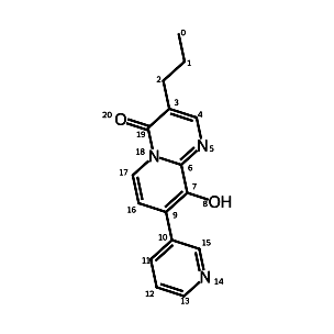 CCCc1cnc2c(O)c(-c3cccnc3)ccn2c1=O